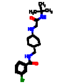 CC(C)(C)NC(=O)CN[C@H]1CC[C@H](CNC(=O)c2cccc(Br)c2)CC1